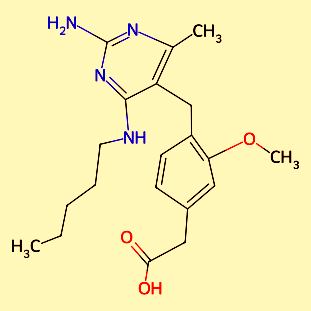 CCCCCNc1nc(N)nc(C)c1Cc1ccc(CC(=O)O)cc1OC